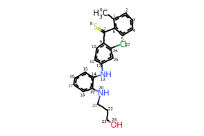 Cc1ccccc1C(=S)c1ccc(Nc2ccccc2NCCCO)cc1Cl